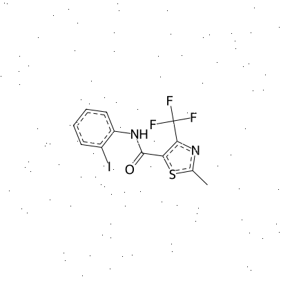 Cc1nc(C(F)(F)F)c(C(=O)Nc2ccccc2I)s1